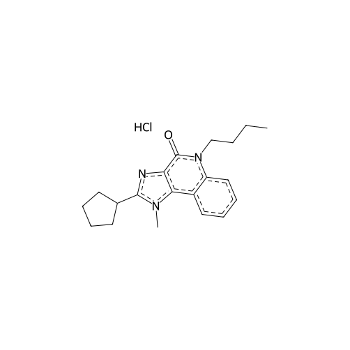 CCCCn1c(=O)c2nc(C3CCCC3)n(C)c2c2ccccc21.Cl